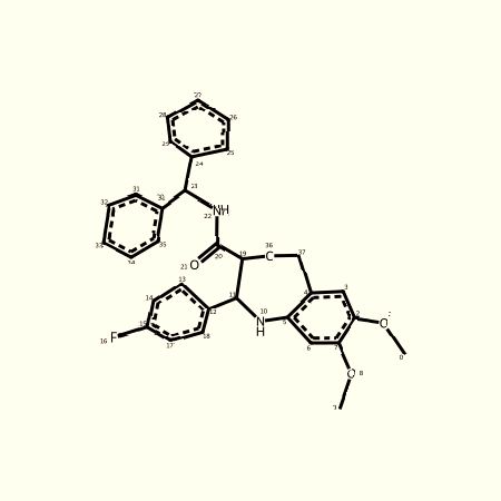 COc1cc2c(cc1OC)NC(c1ccc(F)cc1)C(C(=O)NC(c1ccccc1)c1ccccc1)CC2